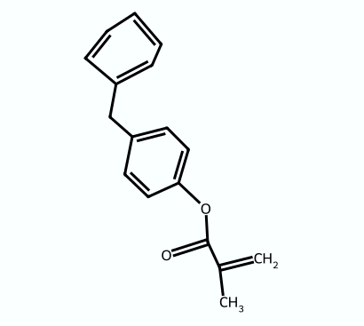 C=C(C)C(=O)Oc1ccc(Cc2ccccc2)cc1